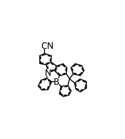 N#Cc1ccc2c(c1)c1ccc3c4c1n2-c1ccccc1B4c1ccccc1C3(c1ccccc1)c1ccccc1